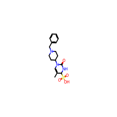 CC1=CN(C2CCN(Cc3ccccc3)CC2)C(=O)NC1S(=O)(=O)O